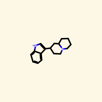 c1ccc2c(C3CCN4CCCCC4C3)c[nH]c2c1